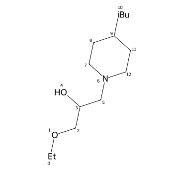 CCOCC(O)CN1CCC(C(C)CC)CC1